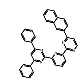 c1ccc(-c2cc(-c3ccccc3)nc(-c3cccc(-c4nccc(-c5ccc6ccccc6c5)n4)n3)n2)cc1